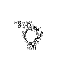 Cn1nc2nc1-c1cc(ccc1F)Sc1c(F)cc3[nH]ccc3c1CCSCC(C)(C)CCC[C@]2(C)c1cccc(CCC(=O)O)c1